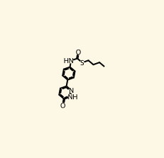 CCCCSC(=O)Nc1ccc(-c2ccc(=O)[nH]n2)cc1